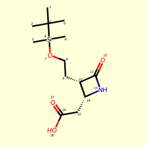 CC(C)(C)[Si](C)(C)OCC[C@@H]1C(=O)N[C@@H]1CC(=O)O